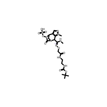 CN/C(=N\OCC(=O)NCCNC(=O)OC(C)(C)C)C1c2c(cnn2C)C2CN1C(=O)N2OS(=O)(=O)O